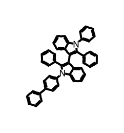 c1ccc(-c2ccc(-n3c(-c4ccccc4)c(-c4c(-c5ccccc5)n(-c5ccccc5)c5ccccc45)c4ccccc43)cc2)cc1